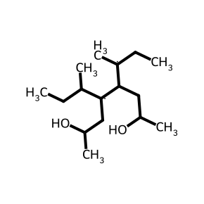 CC[C](C)C(CC(C)O)[C](CC(C)O)C(C)CC